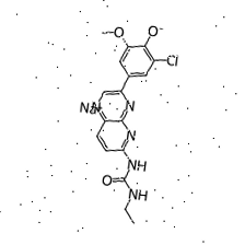 CCNC(=O)Nc1ccc2ncc(-c3cc(Cl)c([O-])c(OC)c3)nc2n1.[Na+]